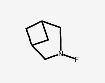 FN1CC2CC(C2)C1